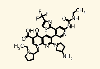 CCNC(=O)Nc1cc(-c2nc(C(F)(F)F)cs2)c(-c2cc3c(=O)c(C(=O)O)cn(CC4CCCN4CC)c3nc2N2CCC(N)C2)cn1